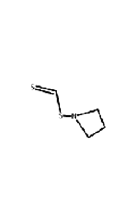 S=CSN1CCC1